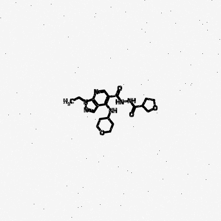 CCn1ncc2c(NC3CCOCC3)c(C(=O)NNC(=O)C3CCOC3)cnc21